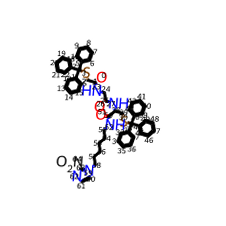 O=C(CSC(c1ccccc1)(c1ccccc1)c1ccccc1)NCC(=O)NC(CSC(c1ccccc1)(c1ccccc1)c1ccccc1)C(=O)NCCCCCCn1ccnc1[N+](=O)[O-]